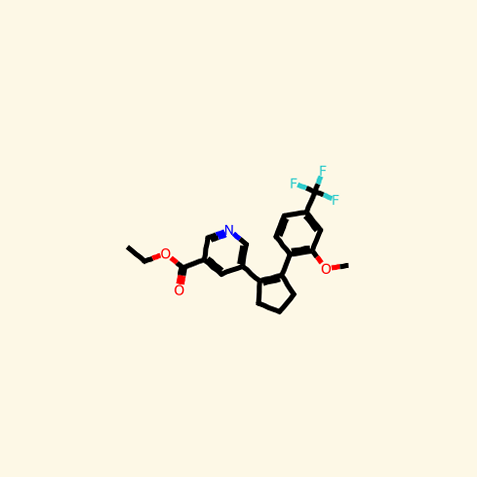 CCOC(=O)c1cncc(C2=C(c3ccc(C(F)(F)F)cc3OC)CCC2)c1